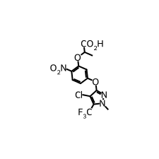 CC(Oc1cc(Oc2nn(C)c(C(F)(F)F)c2Cl)ccc1[N+](=O)[O-])C(=O)O